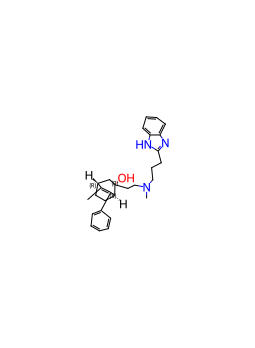 CC1=C(c2ccccc2)[C@@H]2CC[C@@H]1C[C@@]2(O)CCN(C)CCCc1nc2ccccc2[nH]1